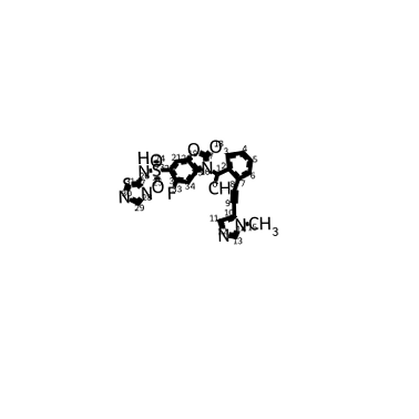 CC(c1ccccc1C#Cc1cncn1C)n1c(=O)oc2cc(S(=O)(=O)Nc3ncns3)c(F)cc21